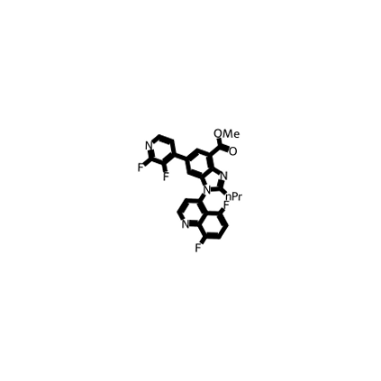 CCCc1nc2c(C(=O)OC)cc(-c3ccnc(F)c3F)cc2n1-c1ccnc2c(F)ccc(F)c12